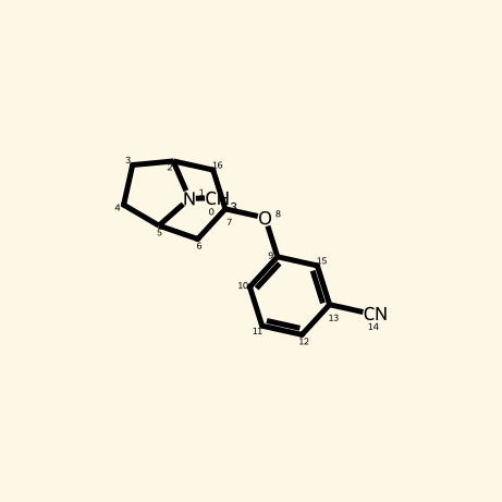 CN1C2CCC1CC(Oc1cccc(C#N)c1)C2